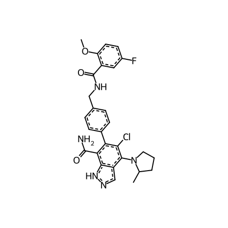 COc1ccc(F)cc1C(=O)NCc1ccc(-c2c(Cl)c(N3CCCC3C)c3cn[nH]c3c2C(N)=O)cc1